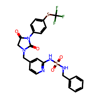 O=C1CN(Cc2ccnc(NS(=O)(=O)NCc3ccccc3)c2)C(=O)N1c1ccc(SC(F)(F)F)cc1